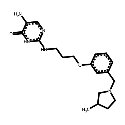 CC1CCN(Cc2cccc(OCCCNc3ncc(N)c(=O)[nH]3)c2)C1